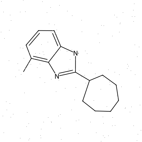 Cc1cccc2c1N=C(C1CCCCCC1)[N]2